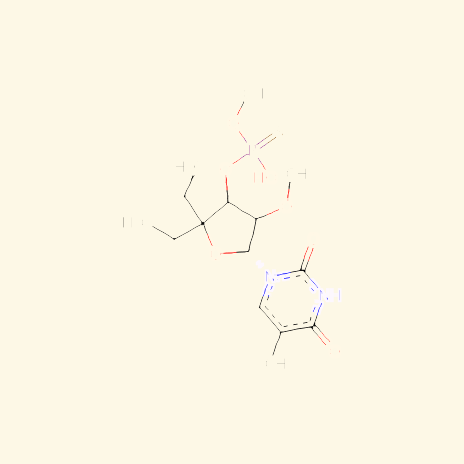 CCC1(CC)O[C@@H](n2cc(C)c(=O)[nH]c2=O)C(OC)C1OP(O)(=S)OC